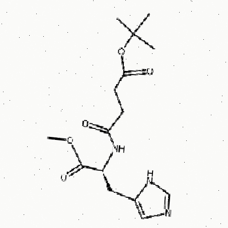 COC(=O)[C@H](Cc1cnc[nH]1)NC(=O)CCC(=O)OC(C)(C)C